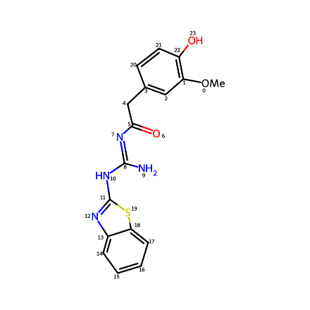 COc1cc(CC(=O)/N=C(\N)Nc2nc3ccccc3s2)ccc1O